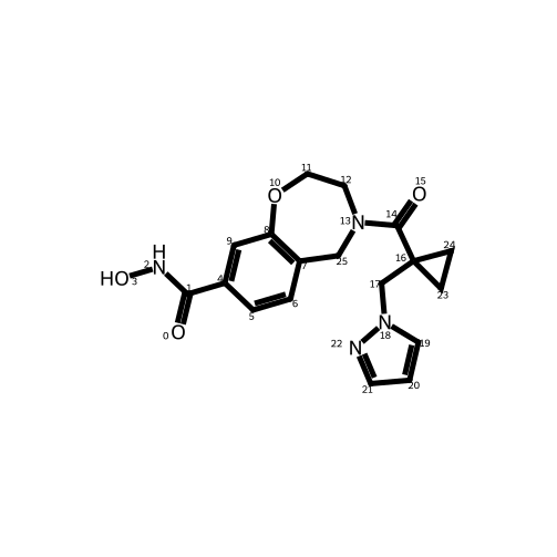 O=C(NO)c1ccc2c(c1)OCCN(C(=O)C1(Cn3cccn3)CC1)C2